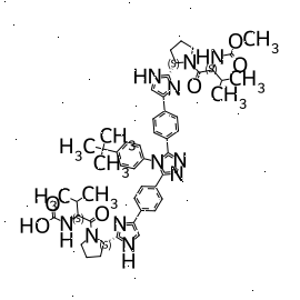 COC(=O)N[C@H](C(=O)N1CCC[C@H]1c1nc(-c2ccc(-c3nnc(-c4ccc(-c5c[nH]c([C@@H]6CCCN6C(=O)[C@@H](NC(=O)O)C(C)C)n5)cc4)n3-c3ccc(C(C)(C)C)cc3)cc2)c[nH]1)C(C)C